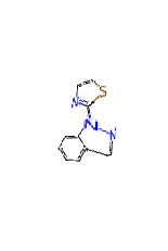 c1ccc2c(c1)cnn2-c1nccs1